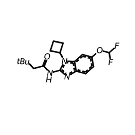 CC(C)(C)CC(=O)Nc1nc2ccc(OC(F)F)cc2n1C1CCC1